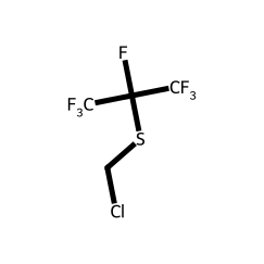 FC(F)(F)C(F)(SCCl)C(F)(F)F